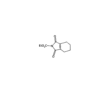 CCOC(=O)N1C(=O)C2=C(CCCC2)C1=O